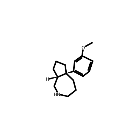 COc1cccc([C@@]23CCCNC[C@@H]2CCC3)c1